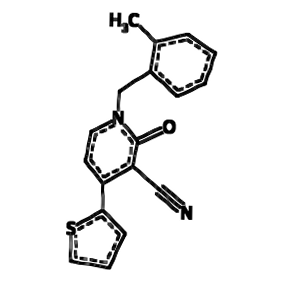 Cc1ccccc1Cn1ccc(-c2cccs2)c(C#N)c1=O